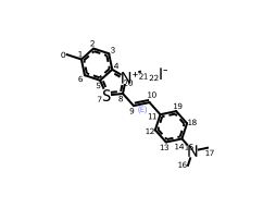 Cc1ccc2c(c1)sc(/C=C/c1ccc(N(C)C)cc1)[n+]2C.[I-]